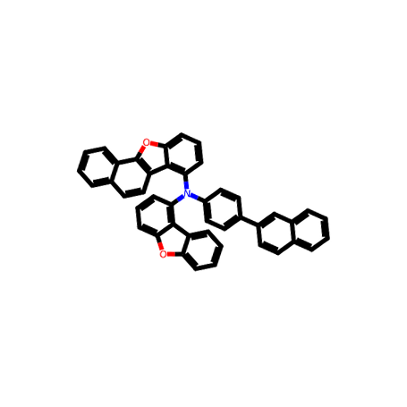 c1ccc2cc(-c3ccc(N(c4cccc5oc6ccccc6c45)c4cccc5oc6c7ccccc7ccc6c45)cc3)ccc2c1